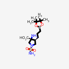 CC1(C)OB(CCC[C@H]2CN(S(N)(=O)=O)C[C@@]2(N)C(=O)O)OC1(C)C